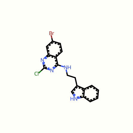 Clc1nc(NCCc2c[nH]c3ccccc23)c2ccc(Br)cc2n1